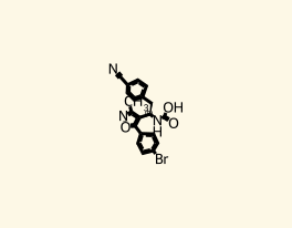 Cc1noc(-c2ccc(Br)cc2)c1[C@@H](Cc1ccc(C#N)cc1)NC(=O)O